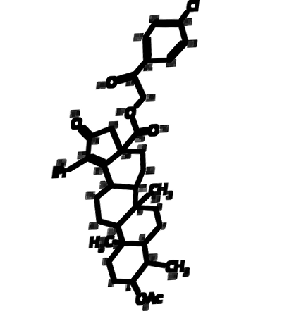 CC(=O)OC1CCC2(C)C(CCC3(C)C4CCC5(C(=O)OCC(=O)c6ccc(Cl)cc6)CC(=O)C(C(C)C)=C5C4CCC32)C1C